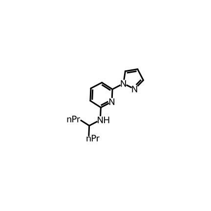 CCCC(CCC)Nc1cccc(-n2cccn2)n1